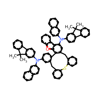 CC1(C)c2ccccc2-c2ccc(N(c3ccc4c(c3)Cc3ccccc3Sc3ccccc3Cc3cc(N(c5ccc6c(c5)C(C)(C)c5ccccc5-6)c5ccc6ccccc6c5)c5c(oc6ccccc65)c3-4)c3ccc4ccccc4c3)cc21